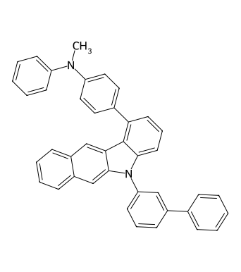 CN(c1ccccc1)c1ccc(-c2cccc3c2c2cc4ccccc4cc2n3-c2cccc(-c3ccccc3)c2)cc1